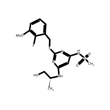 COc1cccc(CSc2nc(N[C@H](C)CO)cc(NS(C)(=O)=O)n2)c1F